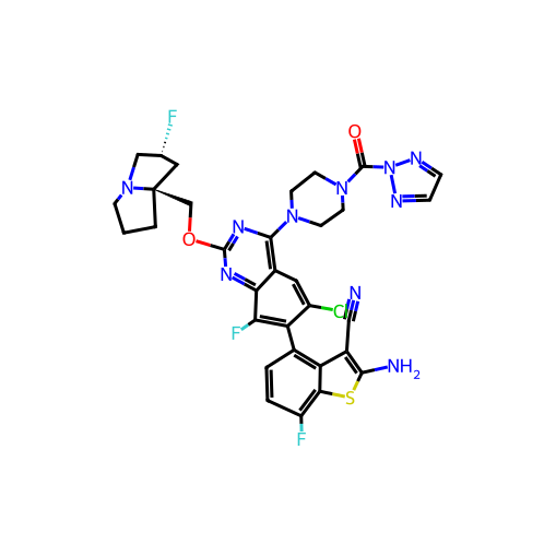 N#Cc1c(N)sc2c(F)ccc(-c3c(Cl)cc4c(N5CCN(C(=O)n6nccn6)CC5)nc(OC[C@@]56CCCN5C[C@H](F)C6)nc4c3F)c12